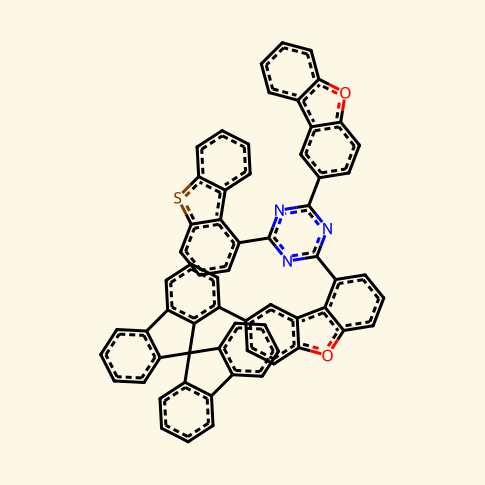 c1ccc2c(c1)-c1ccccc1C21c2ccccc2-c2cccc(-c3ccc4oc5cccc(-c6nc(-c7ccc8oc9ccccc9c8c7)nc(-c7cccc8sc9ccccc9c78)n6)c5c4c3)c21